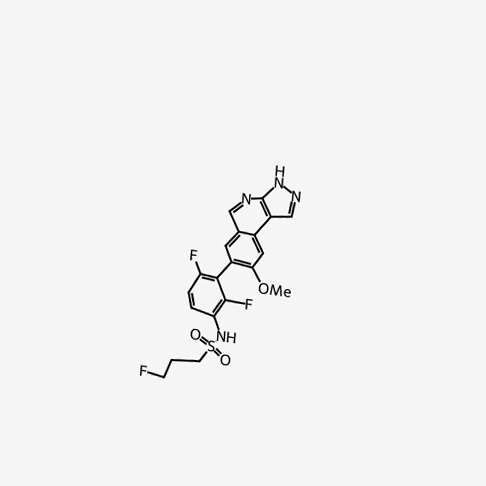 COc1cc2c(cnc3[nH]ncc32)cc1-c1c(F)ccc(NS(=O)(=O)CCCF)c1F